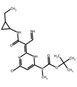 CCC1CC1NC(=O)/C(C=N)=C1\N=C(Cl)C=C(N(C)C(=O)OC(C)(C)C)N1